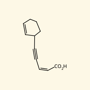 O=C(O)/C=C\C#CC1C=CCCC1